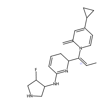 C=C1C=C(C2CC2)C=CN1/C(=C\C)C1CC=CC(NC2CNCC2F)=N1